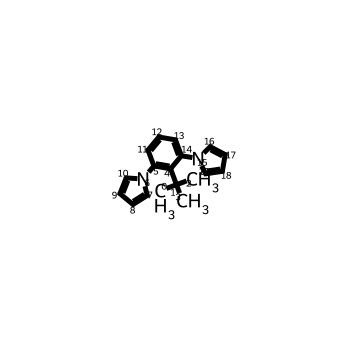 CC(C)(C)c1c(-n2cccc2)cccc1-n1cccc1